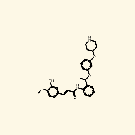 COc1ccc(C=CC(=O)Nc2ccccc2C(C)Oc2cccc(OC3CCNCC3)c2)cc1O